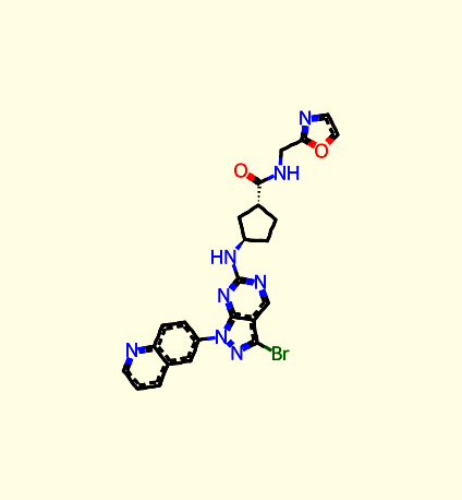 O=C(NCc1ncco1)[C@@H]1CC[C@@H](Nc2ncc3c(Br)nn(-c4ccc5ncccc5c4)c3n2)C1